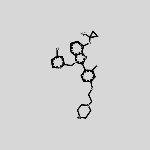 CC1(Oc2ccnc3c2nc(-c2ccc(OCCN4CCNCC4)cc2Cl)n3Cc2cc(Cl)ccn2)CC1